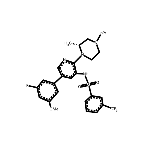 CCCN1CCN(c2ncc(-c3cc(F)cc(OC)c3)cc2NS(=O)(=O)c2cccc(C(F)(F)F)c2)[C@H](C)C1